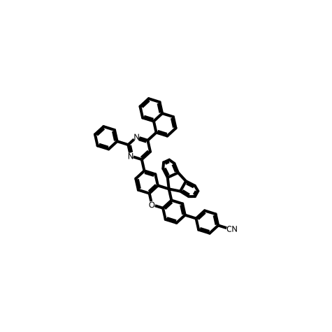 N#Cc1ccc(-c2ccc3c(c2)C2(c4cc(-c5cc(-c6cccc7ccccc67)nc(-c6ccccc6)n5)ccc4O3)c3ccccc3-c3ccccc32)cc1